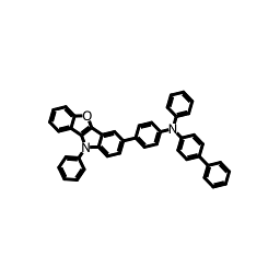 c1ccc(-c2ccc(N(c3ccccc3)c3ccc(-c4ccc5c(c4)c4oc6ccccc6c4n5-c4ccccc4)cc3)cc2)cc1